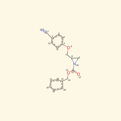 N#Cc1ccc(OCC2CN2C(=O)OCc2ccccc2)cc1